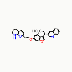 O=C(O)CC(c1cnc2ccccc2c1)c1coc2cc(OCCc3ccc4c(n3)NCCC4)ccc12